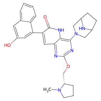 CN1CCC[C@H]1COc1nc(N2CC3CCC(C2)N3)c2[nH]c(=O)c(-c3cc(O)cc4ccccc34)cc2n1